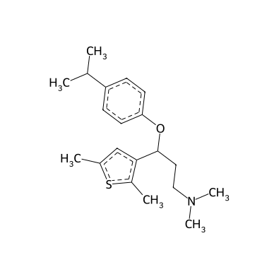 Cc1cc(C(CCN(C)C)Oc2ccc(C(C)C)cc2)c(C)s1